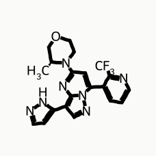 C[C@@H]1COCCN1c1cc(-c2cccnc2C(F)(F)F)n2ncc(-c3ccn[nH]3)c2n1